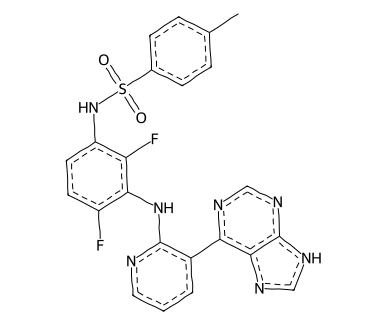 Cc1ccc(S(=O)(=O)Nc2ccc(F)c(Nc3ncccc3-c3ncnc4[nH]cnc34)c2F)cc1